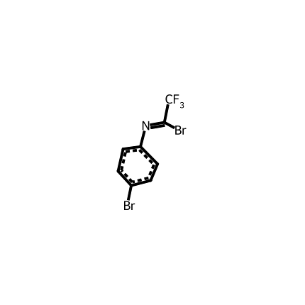 FC(F)(F)C(Br)=Nc1ccc(Br)cc1